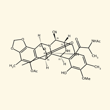 COc1c(C)cc2c(c1O)[C@@H]1N[C@@H](C2)[C@H](C#N)N2C1[C@@H]1SC[C@H](NC(=O)C(C)NC(C)=O)C(=O)OC[C@H]2c2c3c(c(C)c(OC(C)=O)c21)OCO3